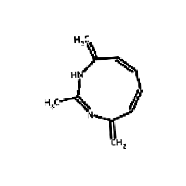 C=c1ccccc(=C)[nH]c(C)n1